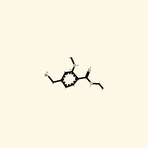 CCOC(=O)c1ccc(CBr)cc1OC